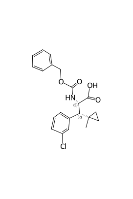 CC1([C@H](c2cccc(Cl)c2)[C@H](NC(=O)OCc2ccccc2)C(=O)O)CC1